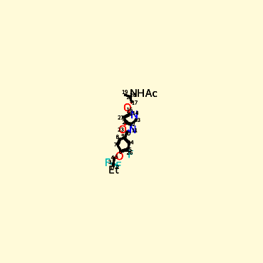 CCC(F)(F)COc1ccc(-c2nc3cnc(OC[C@H](C)NC(C)=O)cc3o2)cc1F